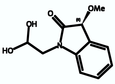 CO[C@H]1C(=O)N(CC(O)O)c2ccccc21